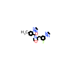 Cc1ccc(C(=O)N2CCOCC2Cc2cc(F)cc(-n3nccn3)c2)c(-n2nccn2)c1